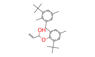 C=CC(O)Oc1c(Cc2cc(C)cc(C(C)(C)C)c2C)cc(C)cc1C(C)(C)C